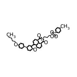 CCCCCOc1ccc(-c2ccc3oc4ccc5c(=O)n(CCCOS(=O)(=O)c6ccc(C)cc6)c(=O)c6ccc(c3c2)c4c56)cc1